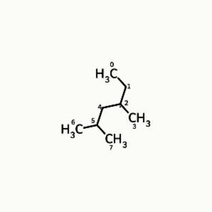 CC[C](C)CC(C)C